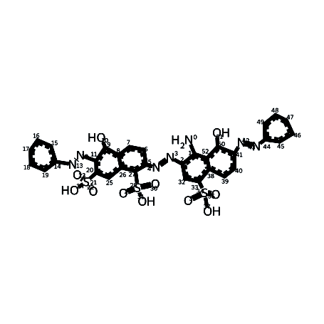 Nc1c(N=Nc2ccc3c(O)c(N=Nc4ccccc4)c(S(=O)(=O)O)cc3c2S(=O)(=O)O)cc(S(=O)(=O)O)c2ccc(N=Nc3ccccc3)c(O)c12